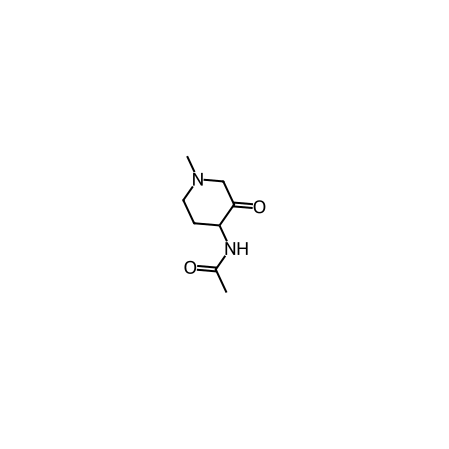 CC(=O)NC1CCN(C)CC1=O